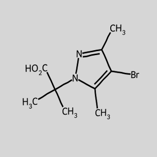 Cc1nn(C(C)(C)C(=O)O)c(C)c1Br